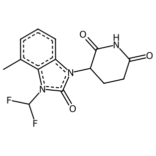 Cc1cccc2c1n(C(F)F)c(=O)n2C1CCC(=O)NC1=O